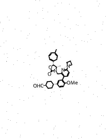 COc1ccc([C@H]2CC[C@H](C=O)CC2)cc1-c1ccc(N2CCC2)nc1CN1C(=O)O[C@H](C2=CC=CC(C)=CC2)[C@@H]1C